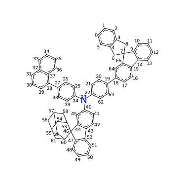 c1ccc2c(c1)CC1(C2)c2ccccc2-c2ccc(-c3ccc(N(c4ccc(-c5cccc6ccccc56)cc4)c4ccc5c(c4)C4(c6ccccc6-5)C5CC6CC(C5)CC4C6)cc3)cc21